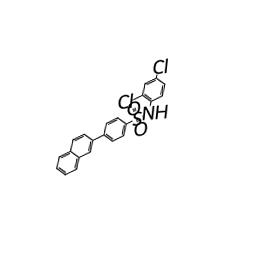 O=S(=O)(Nc1ccc(Cl)cc1Cl)c1ccc(-c2ccc3ccccc3c2)cc1